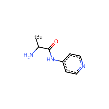 CC(C)(C)C(N)C(=O)Nc1ccncc1